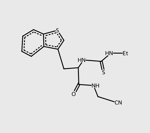 CCNC(=S)NC(Cc1csc2ccccc12)C(=O)NCC#N